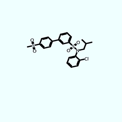 CC(C)CN(c1ccccc1Cl)S(=O)(=O)c1cccc(-c2ccc(S(C)(=O)=O)cc2)c1